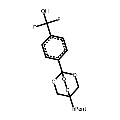 CCCCCC12COC(c3ccc(C(O)(F)F)cc3)(OC1)OC2